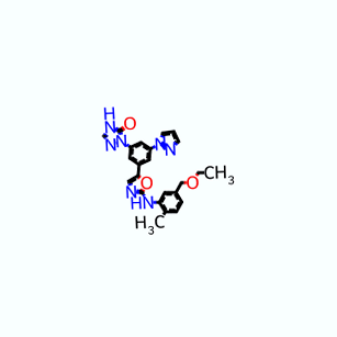 CCOCc1ccc(C)c(Nc2ncc(-c3cc(-n4cccn4)cc(-n4nc[nH]c4=O)c3)o2)c1